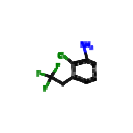 Nc1cccc([CH]C(F)(F)F)c1Cl